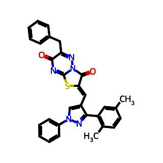 Cc1ccc(C)c(-c2nn(-c3ccccc3)cc2/C=c2\sc3nc(=O)c(Cc4ccccc4)nn3c2=O)c1